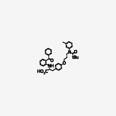 Cc1cccc(N(CCCOc2ccc(CC(Nc3ccccc3C(=O)c3ccccc3)C(=O)O)cc2)C(=O)C(C)(C)C)c1